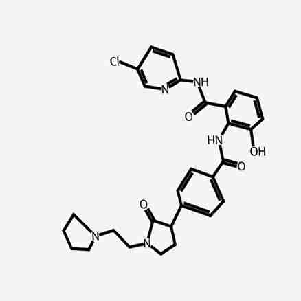 O=C(Nc1c(O)cccc1C(=O)Nc1ccc(Cl)cn1)c1ccc(C2CCN(CCN3CCCC3)C2=O)cc1